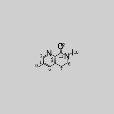 Cc1cnc2c(c1)CCN(I)C2=O